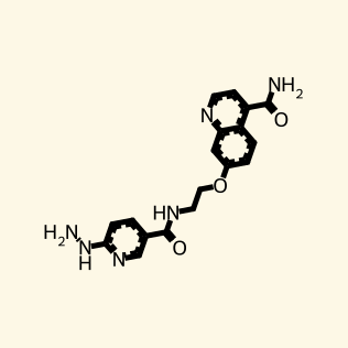 NNc1ccc(C(=O)NCCOc2ccc3c(C(N)=O)ccnc3c2)cn1